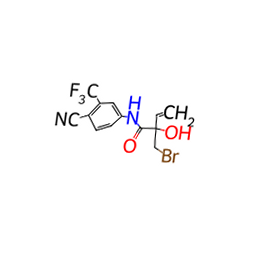 C=CC(O)(CBr)C(=O)Nc1ccc(C#N)c(C(F)(F)F)c1